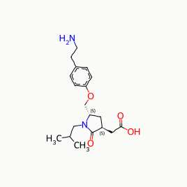 CC(C)CN1C(=O)[C@H](CC(=O)O)C[C@H]1COc1ccc(CCN)cc1